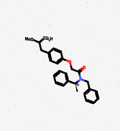 COC(Cc1ccc(OCC(=O)N(Cc2ccccc2)[C@H](C)c2ccccc2)cc1)C(=O)O